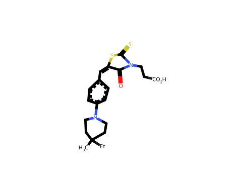 CCC1(C)CCN(c2ccc(C=C3SC(=S)N(CCC(=O)O)C3=O)cc2)CC1